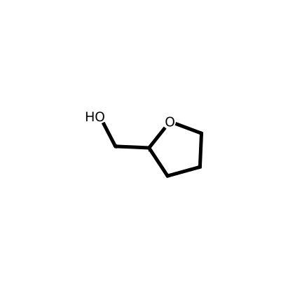 OC[C]1CCCO1